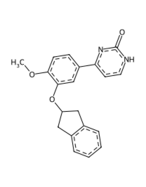 COc1ccc(-c2cc[nH]c(=O)n2)cc1OC1Cc2ccccc2C1